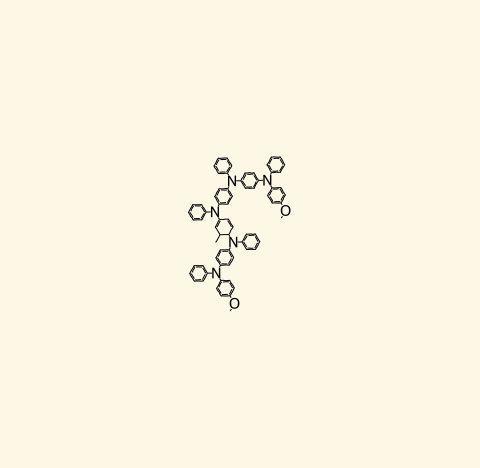 COc1ccc(N(c2ccccc2)c2ccc(N(c3ccccc3)c3ccc(N(C4=CC(C)C(N(c5ccccc5)c5ccc(N(c6ccccc6)c6ccc(OC)cc6)cc5)C=C4)c4ccccc4)cc3)cc2)cc1